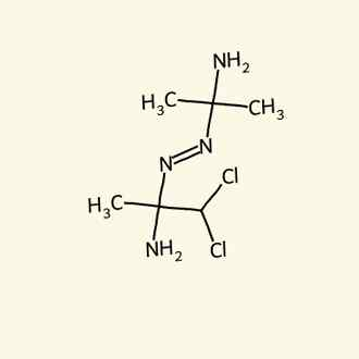 CC(C)(N)N=NC(C)(N)C(Cl)Cl